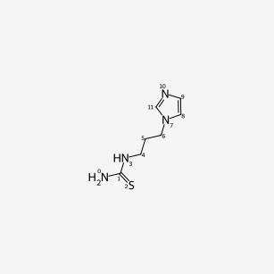 NC(=S)NCCCn1ccnc1